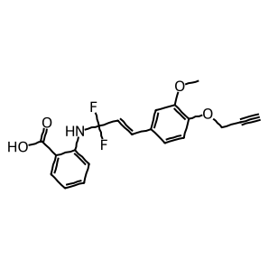 C#CCOc1ccc(/C=C/C(F)(F)Nc2ccccc2C(=O)O)cc1OC